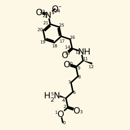 COC(=O)[C@@H](N)CCCC(=O)[C@H](C)NC(=O)Cc1cccc([N+](=O)[O-])c1